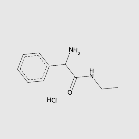 CCNC(=O)C(N)c1ccccc1.Cl